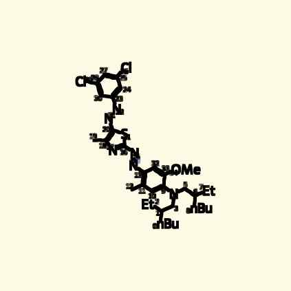 CCCCC(CC)CN(CC(CC)CCCC)c1cc(C)c(/N=N/c2nc(C)c(N=Nc3cc(Cl)cc(Cl)c3)s2)cc1OC